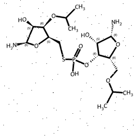 CC(C)OC[C@H]1O[C@@H](N)[C@@H](O)[C@H]1OP(=O)(O)SC[C@H]1O[C@@H](N)[C@@H](O)[C@H]1OC(C)C